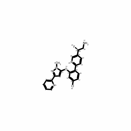 Cn1nc(-c2ccccn2)cc1Oc1cc(Cl)ccc1-c1ccc([C@@H](F)CN)cn1